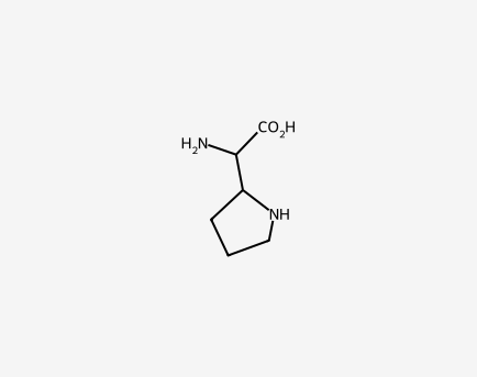 NC(C(=O)O)C1CCCN1